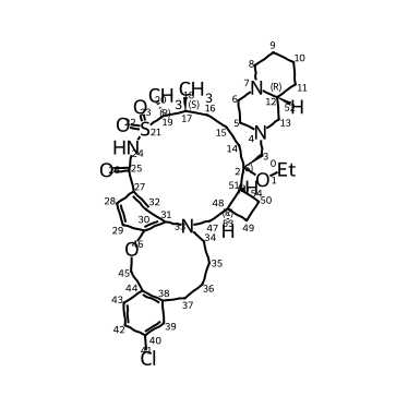 CCO[C@@]1(CN2CCN3CCCC[C@@H]3C2)CCC[C@H](C)[C@@H](C)S(=O)(=O)NC(=O)c2ccc3c(c2)N(CCCCc2cc(Cl)ccc2CO3)C[C@@H]2CC[C@H]21